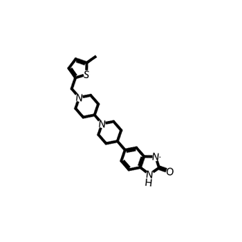 Cc1ccc(CN2CCC(N3CCC(c4ccc5c(c4)[N]C(=O)N5)CC3)CC2)s1